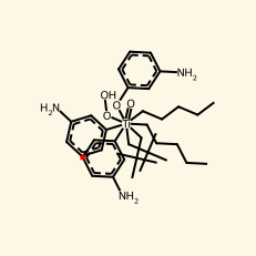 CCCC[CH2][Ti](=[O])([CH2]CCCC)([CH2]C(C)(C)C)([CH2]C(C)(C)C)([O]O)([O]c1cccc(N)c1)([c]1cccc(N)c1)[c]1cccc(N)c1